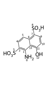 Nc1c(S(=O)(=O)O)ccc2c(S(=O)(=O)O)ccc(O)c12